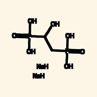 O=P(O)(O)CC(O)P(=O)(O)O.[NaH].[NaH]